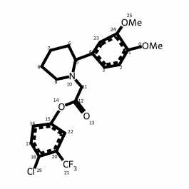 COc1ccc(C2CCCCN2CC(=O)Oc2ccc(Cl)c(C(F)(F)F)c2)cc1OC